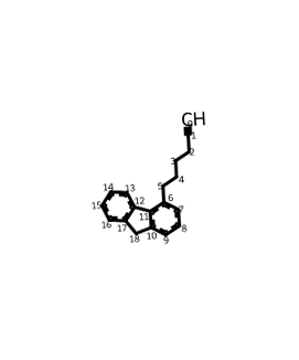 C#CCCCCc1cccc2c1-c1ccccc1C2